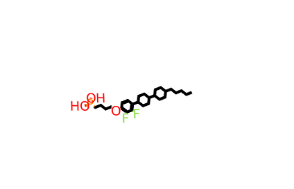 CCCCCC1CCC(C2CCC(c3ccc(OCCCCP(O)O)c(F)c3F)CC2)CC1